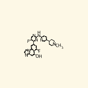 CN1CCC(c2ccc(Nc3ncc(F)c(-c4cc(F)c5c(O)cc6nccn6c5c4)n3)nc2)CC1